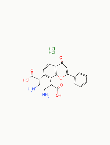 Cl.Cl.NCC(C(=O)O)c1ccc2c(=O)cc(-c3ccccc3)oc2c1C(CN)C(=O)O